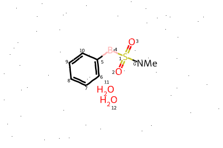 CNS(=O)(=O)[B]c1ccccc1.O.O